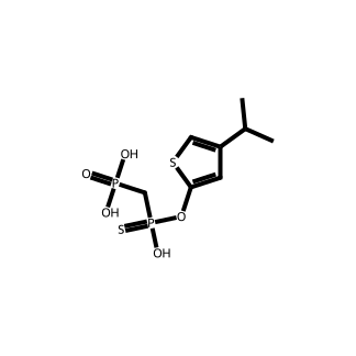 CC(C)c1csc(OP(O)(=S)CP(=O)(O)O)c1